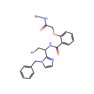 CC(C)CC(NC(=O)c1ccccc1OCC(=O)NC(C)(C)C)c1nccn1Cc1ccccc1